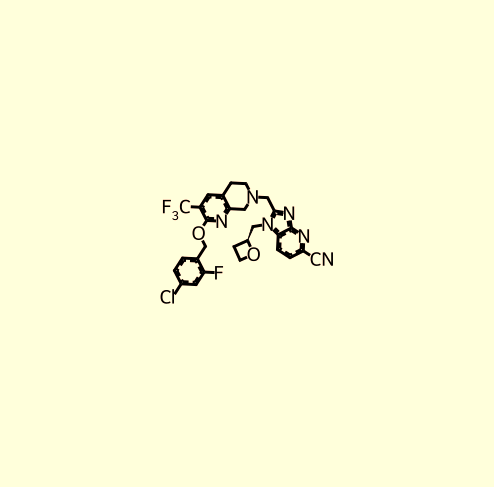 N#Cc1ccc2c(n1)nc(CN1CCc3cc(C(F)(F)F)c(OCc4ccc(Cl)cc4F)nc3C1)n2C[C@@H]1CCO1